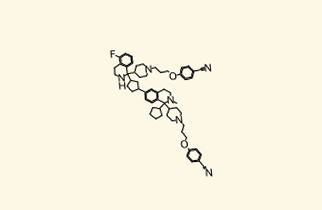 CN1CCc2cc(C3CCC(C4(C5CCN(CCCOc6ccc(C#N)cc6)CC5)NCCc5c(F)cccc54)C3)ccc2C1(C1CCCC1)C1CCN(CCCOc2ccc(C#N)cc2)CC1